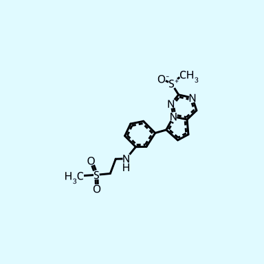 C[S+]([O-])c1ncc2ccc(-c3cccc(NCCS(C)(=O)=O)c3)n2n1